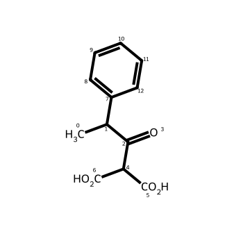 CC(C(=O)C(C(=O)O)C(=O)O)c1ccccc1